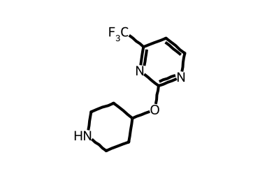 FC(F)(F)c1ccnc(OC2CCNCC2)n1